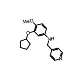 COc1ccc(NCc2ccncc2)cc1OC1CCCC1